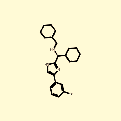 Brc1cccc(-c2c[nH]c([C@@H](NCC3CCCCC3)C3CCCCC3)n2)c1